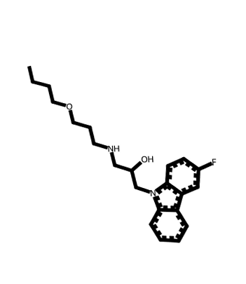 CCCCOCCCNCC(O)Cn1c2ccccc2c2cc(F)ccc21